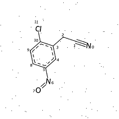 N#CCc1cc(N=O)ccc1Cl